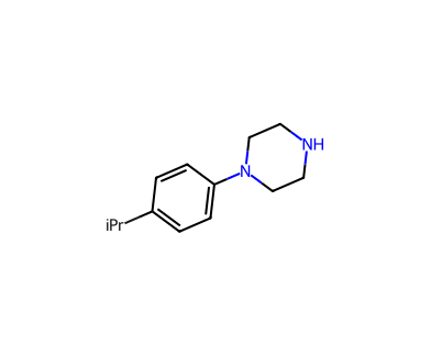 CC(C)c1ccc(N2CCNCC2)cc1